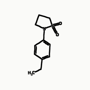 CCc1ccc(N2CCCS2(=O)=O)cc1